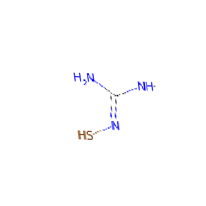 [NH]C(N)=NS